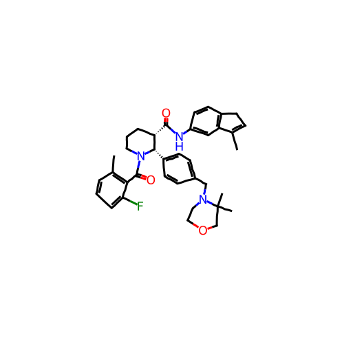 CC1=CCc2ccc(NC(=O)[C@H]3CCCN(C(=O)c4c(C)cccc4F)[C@H]3c3ccc(CN4CCOCC4(C)C)cc3)cc21